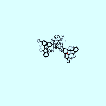 O=C(Nc1nc2ccc(C3(O)c4ccccc4C(=O)N3c3cccc(Cl)c3F)cc2[nH]1)OC(N(C(=O)O)c1nc2ccc(C3(O)c4ccccc4C(=O)N3c3cccc(Cl)c3F)cc2[nH]1)C(F)(F)F